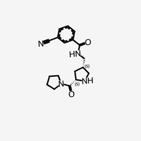 N#Cc1cccc(C(=O)NC[C@@H]2CN[C@H](C(=O)N3CCCC3)C2)c1